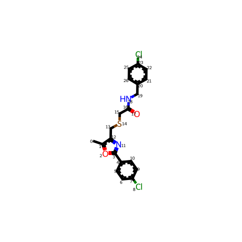 Cc1oc(-c2ccc(Cl)cc2)nc1CSCC(=O)NCc1ccc(Cl)cc1